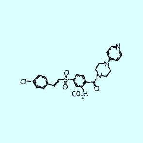 O=C(O)c1cc(S(=O)(=O)C=Cc2ccc(Cl)cc2)ccc1C(=O)N1CCN(c2ccncc2)CC1